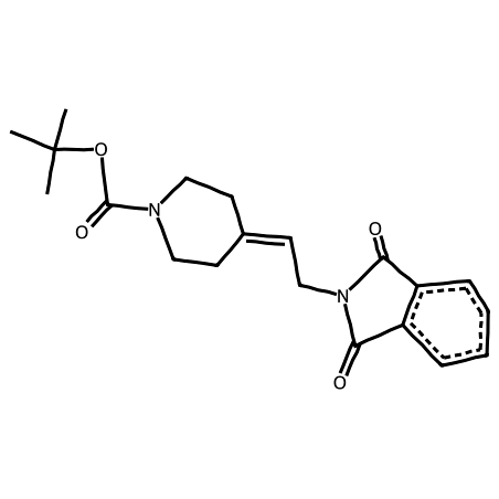 CC(C)(C)OC(=O)N1CCC(=CCN2C(=O)c3ccccc3C2=O)CC1